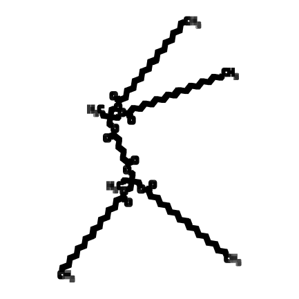 CCCCCCCC/C=C/CCCCCCCC(=O)OCC(CC)(COC(=O)CCCCCC/C=C/CCCCCCCC)COC(=O)CCCCC(=O)OCC(CC)(COC(=O)CCCCCCC/C=C/CCCCCCCC)COC(=O)CCCCCCC/C=C/CCCCCCCC